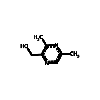 Cc1cnc(CO)c(C)n1